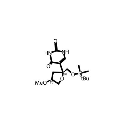 CO[C@@H]1CO[C@@](CO[Si](C)(C)C(C)(C)C)(c2c[nH]c(=O)[nH]c2=O)C1